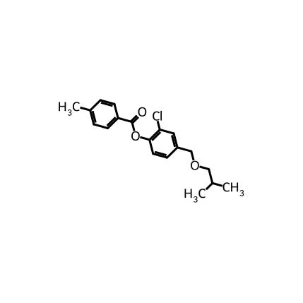 Cc1ccc(C(=O)Oc2ccc(COCC(C)C)cc2Cl)cc1